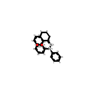 c1ccc(N(/N=C2/CCCc3ccccc32)c2ccccc2)cc1